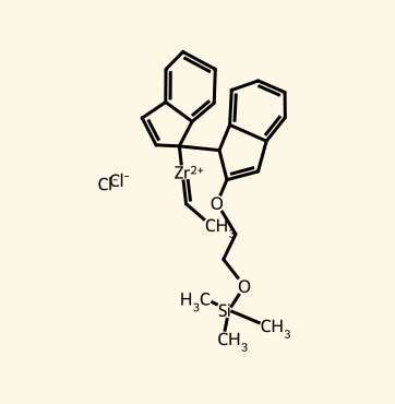 C[CH]=[Zr+2][C]1(C2C(OCCO[Si](C)(C)C)=Cc3ccccc32)C=Cc2ccccc21.[Cl-].[Cl-]